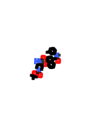 Cc1cccc(N(C)C(=O)c2ccc(S(=O)(=O)NC3CCN(C(=O)OC(C)(C)C)CC3)c3ccccc23)c1